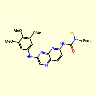 CCCCCN(S)C(=O)Nc1ccc2ncc(Nc3cc(OC)c(OC)c(OC)c3)nc2n1